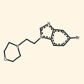 Brc1ccc2c(c1)ncn2CCN1CCOCC1